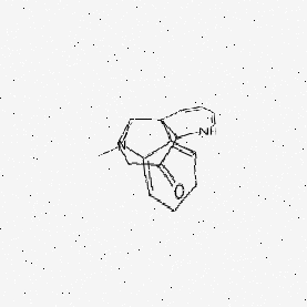 CN1C2=CCCC=C2C23C=CC=CNC2C(=O)CC=C13